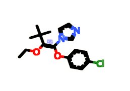 CCO/C(=C(\Oc1ccc(Cl)cc1)n1ccnc1)C(C)(C)C